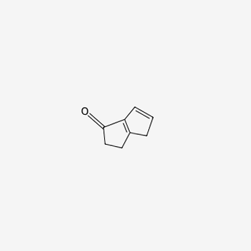 O=C1CCC2=C1C=CC2